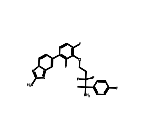 CC(N)(c1ccc(F)cc1)C(F)(F)CCOc1c(F)ccc(-c2ccn3nc(N)nc3c2)c1F